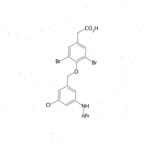 CCCNc1cc(Cl)cc(COc2c(Br)cc(CC(=O)O)cc2Br)c1